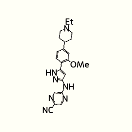 CCN1CCC(c2ccc(-c3cc(Nc4cnc(C#N)cn4)n[nH]3)c(OC)c2)CC1